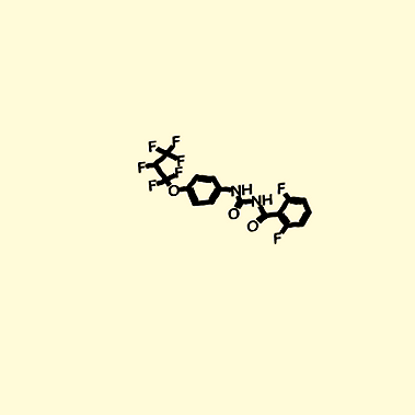 O=C(NC(=O)c1c(F)cccc1F)Nc1ccc(OC(F)(F)C(F)C(F)(F)F)cc1